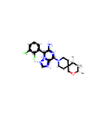 C[C@@H]1OCC2(CCN(c3nc(N)c(-c4cccc(Cl)c4Cl)n4ncnc34)CC2)[C@H](C)[SiH2]1